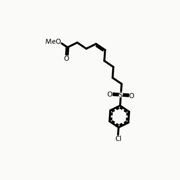 COC(=O)CC/C=C\CCCCS(=O)(=O)c1ccc(Cl)cc1